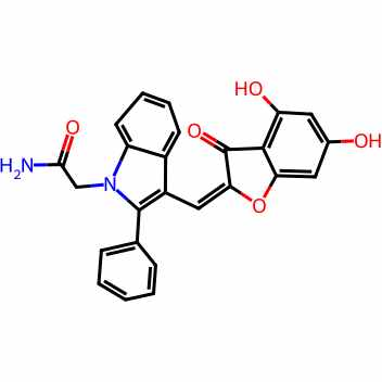 NC(=O)Cn1c(-c2ccccc2)c(/C=C2/Oc3cc(O)cc(O)c3C2=O)c2ccccc21